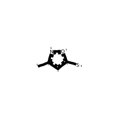 Cc1cc([S])on1